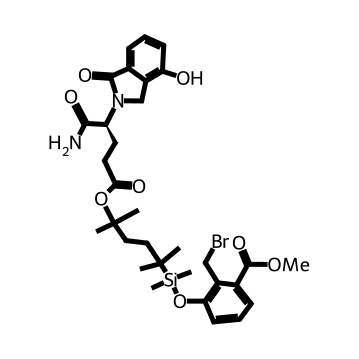 COC(=O)c1cccc(O[Si](C)(C)C(C)(C)CCC(C)(C)OC(=O)CC[C@@H](C(N)=O)N2Cc3c(O)cccc3C2=O)c1CBr